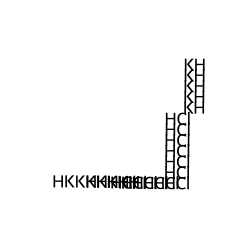 Cl.Cl.Cl.Cl.Cl.Cl.Cl.Cl.Cl.Cl.Cl.Cl.[KH].[KH].[KH].[KH].[KH].[KH].[KH].[KH].[KH].[KH].[KH]